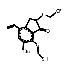 C=Cc1cc(CCCC)c(OCS)c2c1CC(OCC(F)(F)F)C2=O